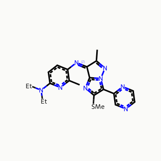 CCN(CC)c1ccc(/N=C2/C(C)=Nn3c2nc(SC)c3-c2cnccn2)c(C)n1